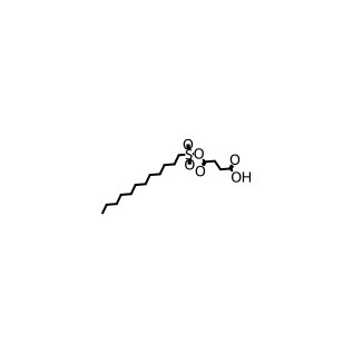 CCCCCCCCCCCCS(=O)(=O)OC(=O)CCC(=O)O